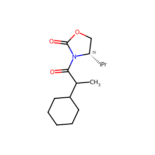 CC(C(=O)N1C(=O)OC[C@@H]1C(C)C)C1CCCCC1